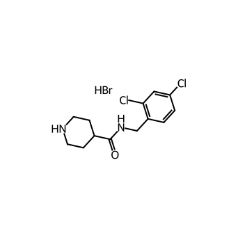 Br.O=C(NCc1ccc(Cl)cc1Cl)C1CCNCC1